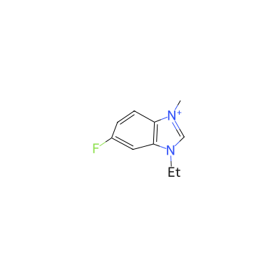 CCn1c[n+](C)c2ccc(F)cc21